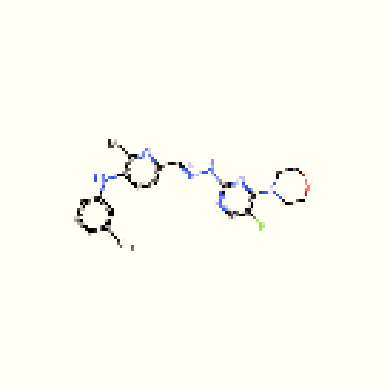 CCc1nc(/C=N/Nc2ncc(F)c(N3CCOCC3)n2)ccc1Nc1cccc(C(F)(F)F)c1